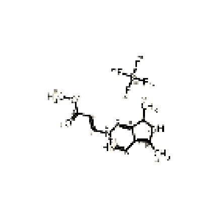 COC(=O)C=CN1C=C2C(=C(C)NC2C)C=[NH+]1.F[B-](F)(F)F